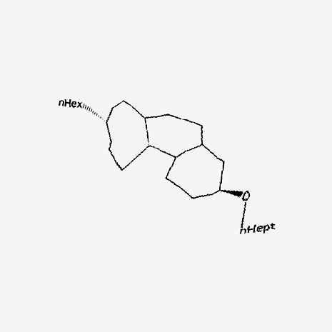 CCCCCCCO[C@H]1CCC2C(CCC3C[C@@H](CCCCCC)CCC32)C1